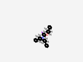 [2H]c1c([2H])c(-c2ccccc2)c([2H])c([2H])c1Oc1cc(I)cc(-n2c3c([2H])c([2H])c(-c4ccccc4)c([2H])c3c3c([2H])c(-c4ccccc4)c([2H])c([2H])c32)c1